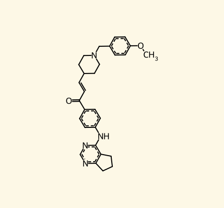 COc1ccc(CN2CCC(/C=C/C(=O)c3ccc(Nc4ncnc5c4CCC5)cc3)CC2)cc1